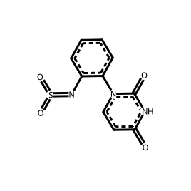 O=c1ccn(-c2ccccc2N=S(=O)=O)c(=O)[nH]1